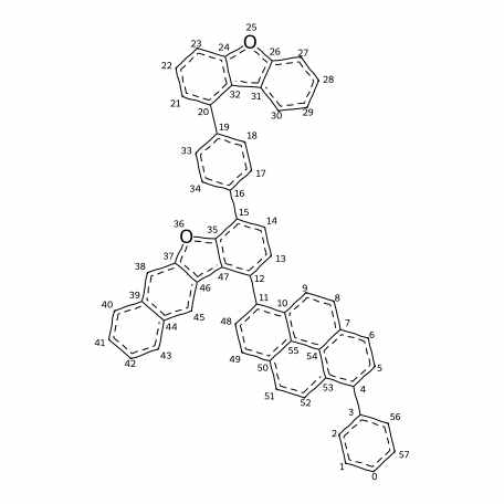 c1ccc(-c2ccc3ccc4c(-c5ccc(-c6ccc(-c7cccc8oc9ccccc9c78)cc6)c6oc7cc8ccccc8cc7c56)ccc5ccc2c3c54)cc1